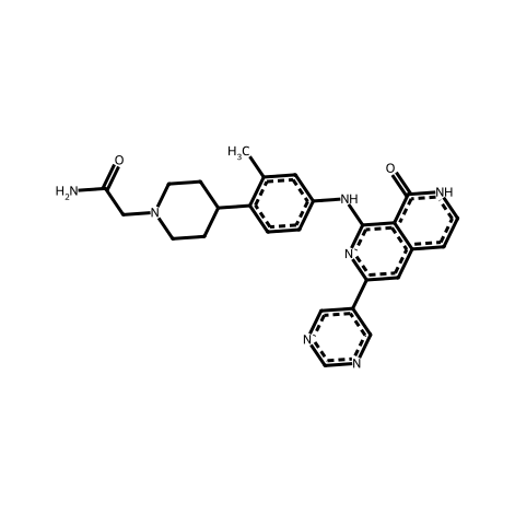 Cc1cc(Nc2nc(-c3cncnc3)cc3cc[nH]c(=O)c23)ccc1C1CCN(CC(N)=O)CC1